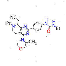 CCNC(=O)Nc1ccc(-c2nc3c(c(N4CCOC[C@@H]4C)n2)CCN(C(C)C)C3CC#N)cc1